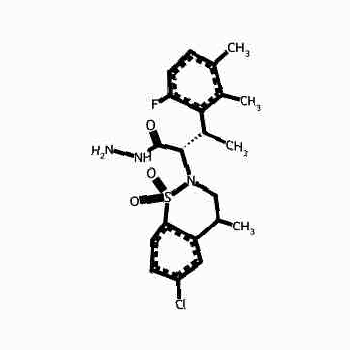 Cc1ccc(F)c(C(C)[C@@H](C(=O)NN)N2CC(C)c3cc(Cl)ccc3S2(=O)=O)c1C